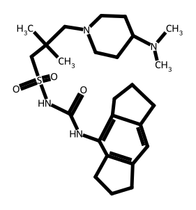 CN(C)C1CCN(CC(C)(C)CS(=O)(=O)NC(=O)Nc2c3c(cc4c2CCC4)CCC3)CC1